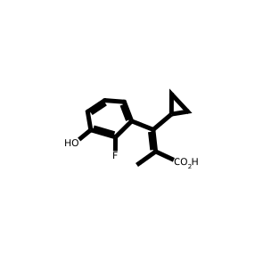 CC(C(=O)O)=C(c1cccc(O)c1F)C1CC1